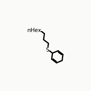 CCCCCCCCCSC1C=CCC=C1